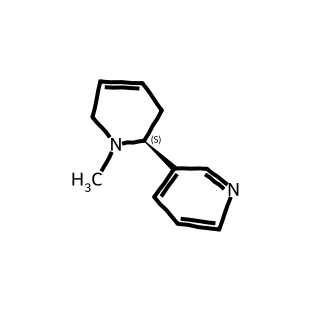 CN1CC=CC[C@H]1c1cccnc1